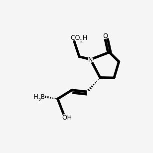 B[C@@H](O)/C=C/[C@H]1CCC(=O)N1CC(=O)O